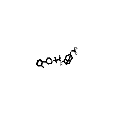 Cc1ccccc1C1CCN(C(C)(C)C(=O)NC2C3CC4CC2CC(OC(=O)O)(C4)C3)CC1